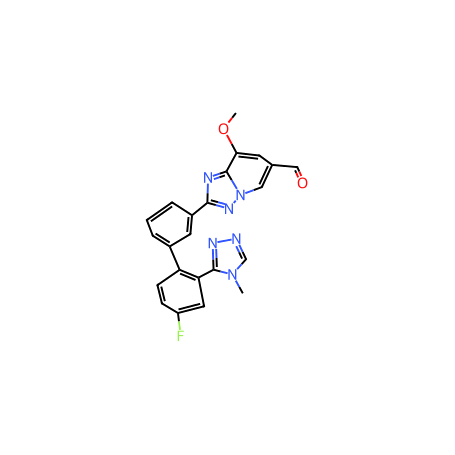 COc1cc(C=O)cn2nc(-c3cccc(-c4ccc(F)cc4-c4nncn4C)c3)nc12